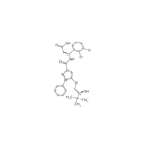 CC(C)(C)[C@H](O)COc1cc(C(=O)N[C@@H](CC(=O)O)c2cccc(Cl)c2Cl)nn1-c1ccccc1